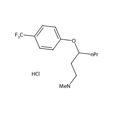 CCCC(CCNC)Oc1ccc(C(F)(F)F)cc1.Cl